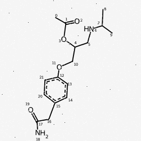 CC(=O)OC(CNC(C)C)COc1ccc(CC(N)=O)cc1